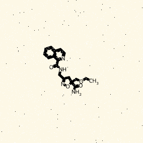 CCOCC1(C(N)=O)CC(CNC(=O)c2nccc3ccccc23)=NO1